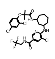 CC(C)(Oc1ccc(Cl)cc1Cl)C(=O)NC1CCCCC(Nc2ncc(C(=O)NCC(F)(F)F)cc2Cl)C1